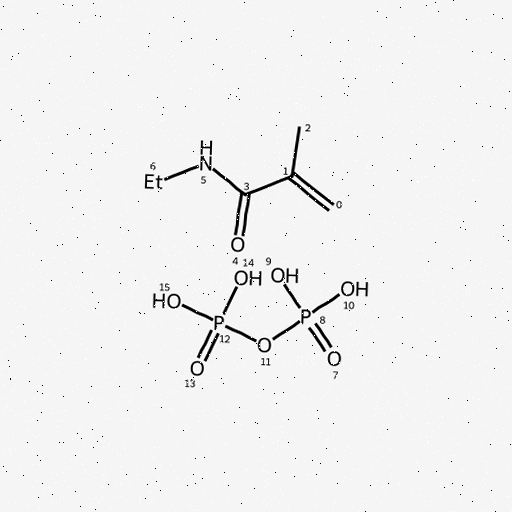 C=C(C)C(=O)NCC.O=P(O)(O)OP(=O)(O)O